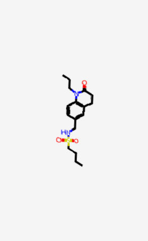 CCCCS(=O)(=O)NCc1ccc2c(c1)CCC(=O)N2CCC